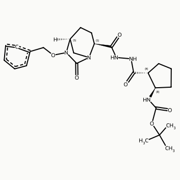 CC(C)(C)OC(=O)N[C@@H]1CCC[C@H]1C(=O)NNC(=O)[C@@H]1CC[C@H]2CN1C(=O)N2OCc1ccccc1